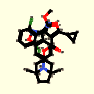 COC(=O)c1noc2cc(N3[C@@H]4CC[C@H]3CC(OC(=O)c3c(-c5c(Cl)cccc5Cl)noc3C3CC3)C4)ccc12